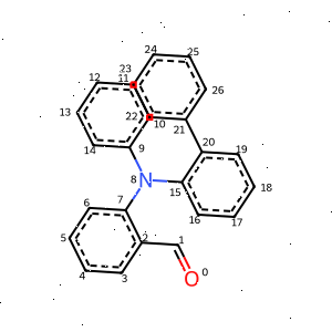 O=Cc1ccccc1N(c1ccccc1)c1ccccc1-c1ccccc1